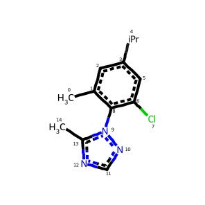 Cc1cc(C(C)C)cc(Cl)c1-n1ncnc1C